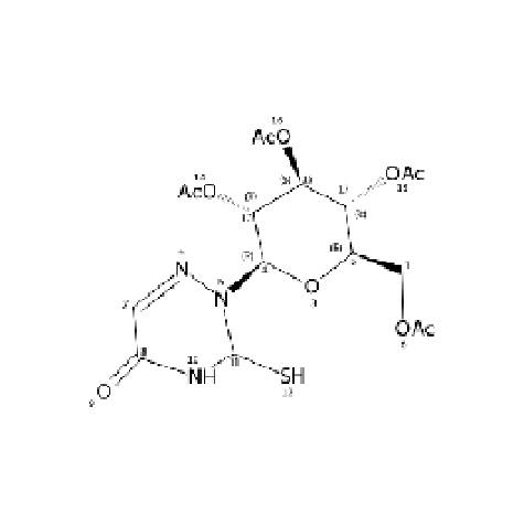 CC(=O)OC[C@H]1O[C@@H](N2N=CC(=O)NC2S)[C@H](OC(C)=O)[C@@H](OC(C)=O)[C@@H]1OC(C)=O